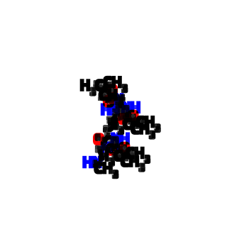 CNCCNC(=O)[C@H](CCCCN/C(=N\C(=O)OC(C)(C)C)NC(=O)OC(C)(C)C)NC(=O)OC(C)(C)C